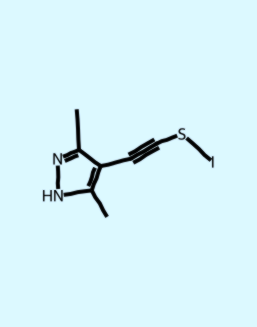 Cc1n[nH]c(C)c1C#CSI